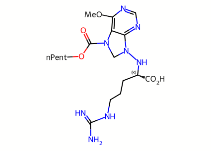 CCCCCOC(=O)N1CN(N[C@H](CCCNC(=N)N)C(=O)O)c2ncnc(OC)c21